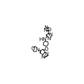 c1nc(N[C@H]2CC[C@@H](Oc3cc(N4CCOCC4)cc4nccnc34)CC2)cc(-c2nnco2)n1